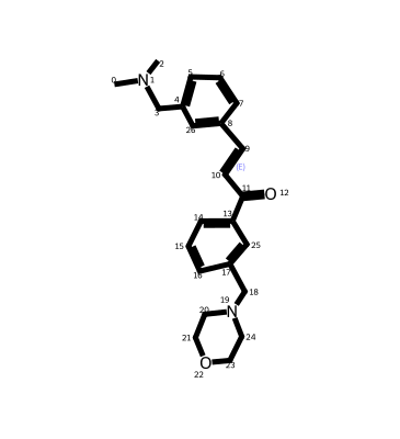 CN(C)Cc1cccc(/C=C/C(=O)c2cccc(CN3CCOCC3)c2)c1